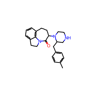 Cc1ccc(CC2CNCCN2C2CCc3cccc4c3N(CC4)C2=O)cc1